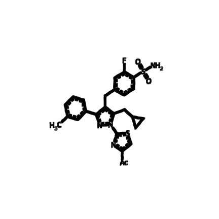 CC(=O)c1csc(-n2nc(-c3cccc(C)c3)c(Cc3ccc(S(N)(=O)=O)c(F)c3)c2CC2CC2)n1